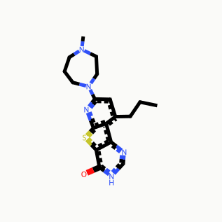 CCCc1cc(N2CCCN(C)CC2)nc2sc3c(=O)[nH]cnc3c12